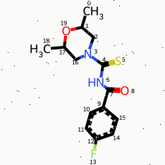 CC1CN(C(=S)NC(=O)c2ccc(F)cc2)CC(C)O1